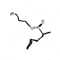 C=CCC(C)[PH](=O)OCCBr